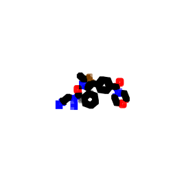 Cc1nc([C@H]2CCCC[C@@H]2C(=O)NCC#N)c(-c2ccc(C(=O)N3CCOCC3)cc2)s1